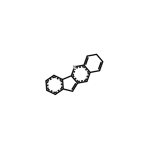 C1=Cc2cc3c(nc2=CC1)-c1ccccc1C=3